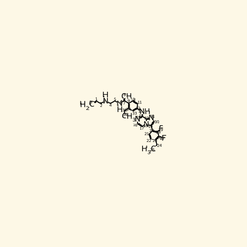 C=CCNCCNC(=C)c1ccc(Nc2nccn3c(-c4ccc(CC)c(F)c4F)cnc23)cc1CC